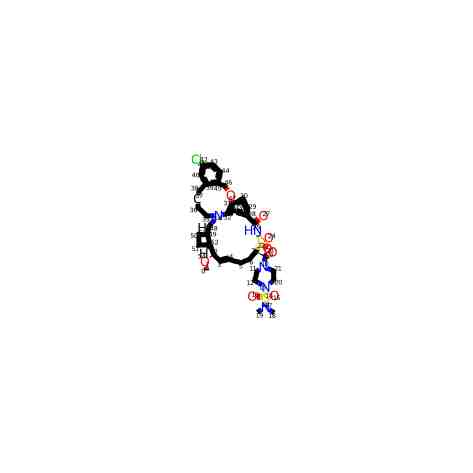 CO[C@H]1/C=C/CC[C@@H](C(=O)N2CCN(S(=O)(=O)N(C)C)CC2)S(=O)(=O)NC(=O)c2ccc3c(c2)N(CCCCc2cc(Cl)ccc2CO3)C[C@@H]2CC[C@H]21